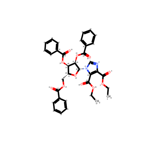 CCOC(=O)c1ncn([C@@H]2O[C@H](COC(=O)c3ccccc3)[C@@H](OC(=O)c3ccccc3)[C@H]2OC(=O)c2ccccc2)c1C(=O)OCC